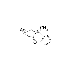 CC(=O)[C@H]1CC(=O)N([C@H](C)c2ccccc2)C1